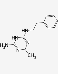 CC1N=C(N)NC(NCCc2ccccc2)=N1